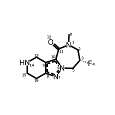 CN1C[C@H](F)Cn2nc3c(c2C1=O)CNCC3